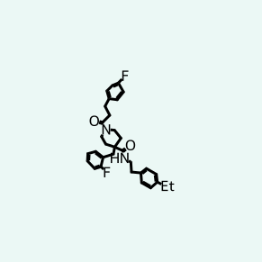 CCc1ccc(CCNC(=O)C2(Cc3ccccc3F)CCN(C(=O)CCc3ccc(F)cc3)CC2)cc1